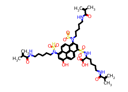 C=C(C)C(=O)NCCCCCN(c1cc(O)c2ccc3c(S(=O)(=O)NC(CCCCNC(=O)C(=C)C)C(=O)O)cc(N(CCCCCNC(=O)C(=C)C)[SH](=O)=O)c4ccc1c2c43)[SH](=O)=O